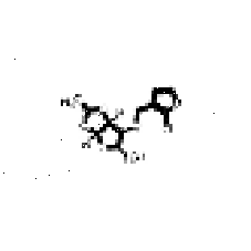 CCCC[C@H]1O[C@@H]2OC(C)O[C@@H]2[C@H]1OCc1ccoc1Cl